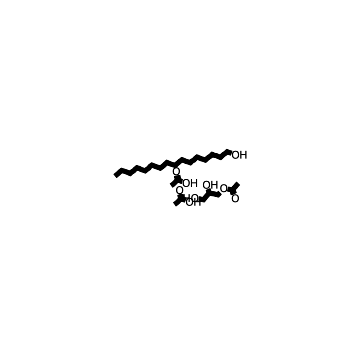 CC(=O)O.CC(=O)O.CC(=O)OCC(O)CO.CCCCCCCCCCCCCCCCO